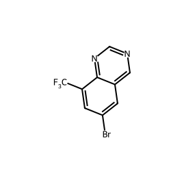 FC(F)(F)c1cc(Br)cc2cncnc12